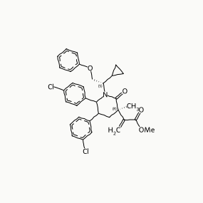 C=C(C(=O)OC)[C@@]1(C)CC(c2cccc(Cl)c2)C(c2ccc(Cl)cc2)N([C@H](COc2ccccc2)C2CC2)C1=O